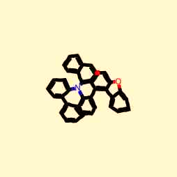 c1ccc(-c2ccccc2N(c2ccccc2-c2cccc3oc4ccccc4c23)c2cccc3ccccc23)cc1